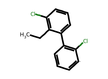 CCc1c(Cl)cccc1-c1ccc[c]c1Cl